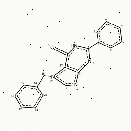 O=c1[nH]c(-c2ccccc2)nc2ncn(Cc3ccccc3)c12